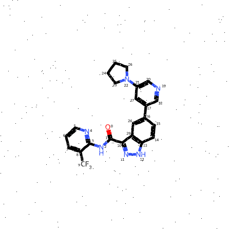 O=C(Nc1ncccc1C(F)(F)F)c1n[nH]c2ccc(-c3cncc(N4CCCC4)c3)cc12